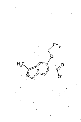 CCOc1cc2c(cnn2C)cc1[N+](=O)[O-]